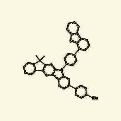 CC(C)(C)c1ccc(-c2ccc3c4cc5c(cc4n(-c4ccc(-c6cccc7c6sc6ccccc67)cc4)c3c2)C(C)(C)c2ccccc2-5)cc1